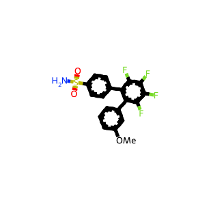 COc1cccc(-c2c(F)c(F)c(F)c(F)c2-c2ccc(S(N)(=O)=O)cc2)c1